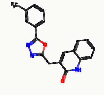 O=c1[nH]c2ccccc2cc1Cc1nnc(-c2cccc(C(F)(F)F)c2)o1